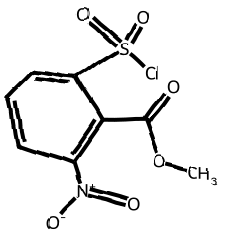 COC(=O)c1c([N+](=O)[O-])cccc1S(=O)(=O)Cl